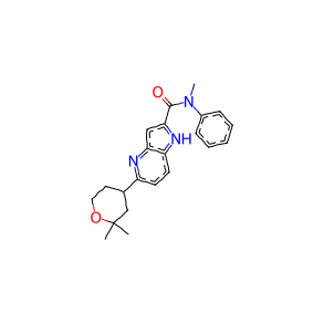 CN(C(=O)c1cc2nc(C3CCOC(C)(C)C3)ccc2[nH]1)c1ccccc1